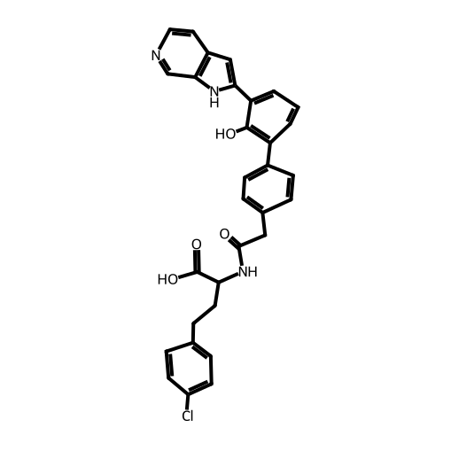 O=C(Cc1ccc(-c2cccc(-c3cc4ccncc4[nH]3)c2O)cc1)NC(CCc1ccc(Cl)cc1)C(=O)O